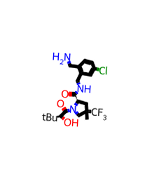 CC(C)(C)[C@H](O)C(=O)N1CC(C)(C(F)(F)F)C[C@H]1C(=O)NCc1cc(Cl)ccc1CN